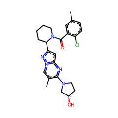 Cc1ccc(Cl)c(C(=O)N2CCCCC2c2cc3nc(N4CC[C@@H](O)C4)c(C)cn3n2)c1